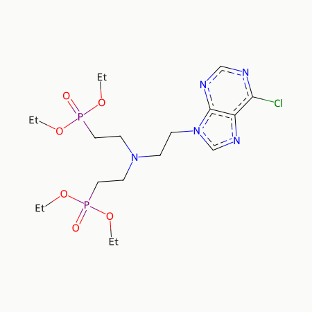 CCOP(=O)(CCN(CCn1cnc2c(Cl)ncnc21)CCP(=O)(OCC)OCC)OCC